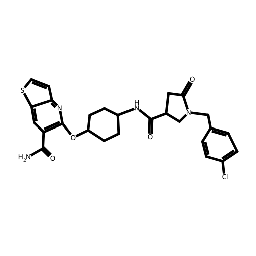 NC(=O)c1cc2sccc2nc1OC1CCC(NC(=O)C2CC(=O)N(Cc3ccc(Cl)cc3)C2)CC1